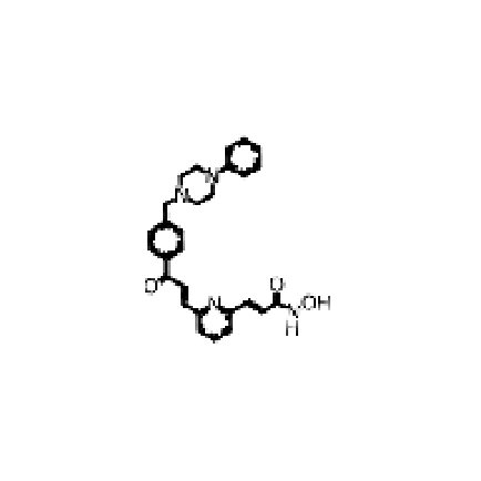 O=C(/C=C/c1cccc(/C=C/C(=O)c2ccc(CN3CCN(c4ccccc4)CC3)cc2)n1)NO